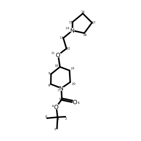 CC(C)(C)OC(=O)N1CCC(OCCN2CCCC2)CC1